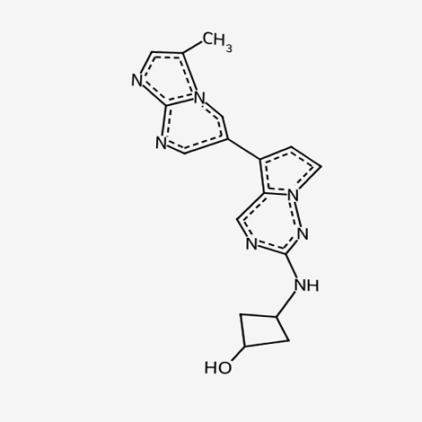 Cc1cnc2ncc(-c3ccn4nc(NC5CC(O)C5)ncc34)cn12